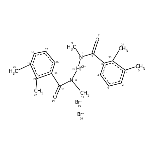 Cc1cccc(C(=O)[N](C)[Hf+2][N](C)C(=O)c2cccc(C)c2C)c1C.[Br-].[Br-]